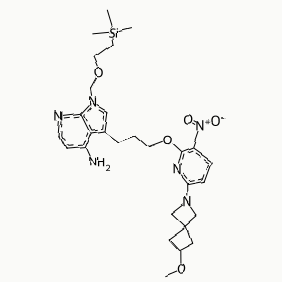 COC1CC2(C1)CN(c1ccc([N+](=O)[O-])c(OCCCc3cn(COCC[Si](C)(C)C)c4nccc(N)c34)n1)C2